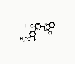 COc1ccc(-c2nc(-c3nc(Cl)c4ccccc4n3)ccc2C)cc1F